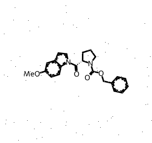 COc1ccc2c(ccn2C(=O)[C@@H]2CCCN2C(=O)OCc2ccccc2)c1